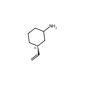 C=C[C@H]1CCCC(N)C1